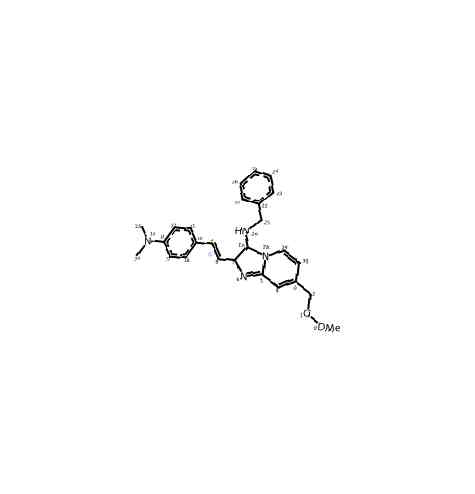 COOCC1=CC2=NC(/C=C/c3ccc(N(C)C)cc3)C(NCc3ccccc3)N2C=C1